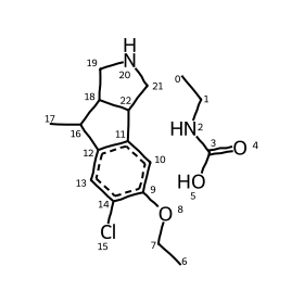 CCNC(=O)O.CCOc1cc2c(cc1Cl)C(C)C1CNCC21